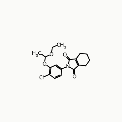 CCOC(C)Oc1cc(N2C(=O)C3=C(CCCC3)C2=O)ccc1Cl